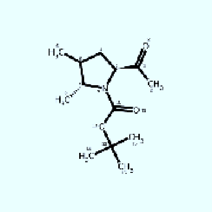 CC(=O)[C@@H]1CC(C)[C@@H](C)N1C(=O)OC(C)(C)C